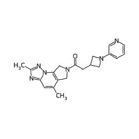 Cc1nc2cc(C)c3c(n2n1)CN(C(=O)CC1CN(c2cccnc2)C1)C3